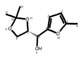 Cc1ccc(C(O)[C@@H]2COC(C)(C)O2)o1